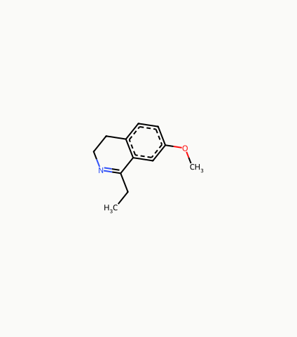 CCC1=NCCc2ccc(OC)cc21